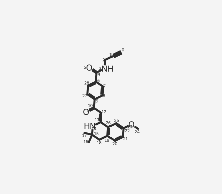 C#CCNC(=O)c1ccc(C(=O)/C=C2\NC(C)(C)Cc3ccc(OC)cc32)cc1